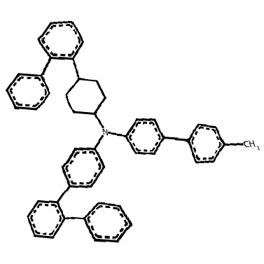 Cc1ccc(-c2ccc(N(c3ccc(-c4ccccc4-c4ccccc4)cc3)C3CCC(c4ccccc4-c4ccccc4)CC3)cc2)cc1